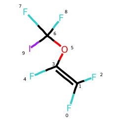 FC(F)=C(F)OC(F)(F)I